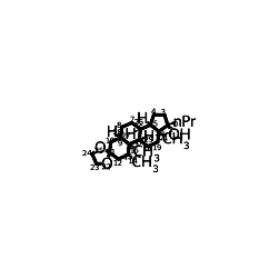 CCC[C@]1(O)CC[C@H]2[C@@H]3CC[C@H]4CC5(C[C@H](C)[C@]4(C)[C@H]3CC[C@@]21C)OCCO5